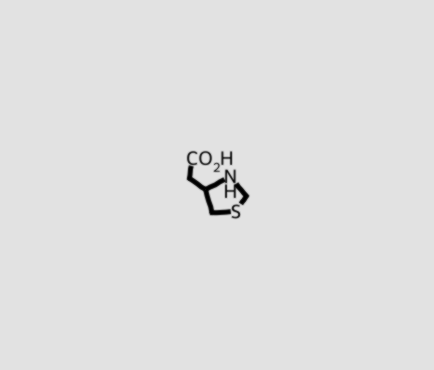 O=C(O)CC1CSCN1